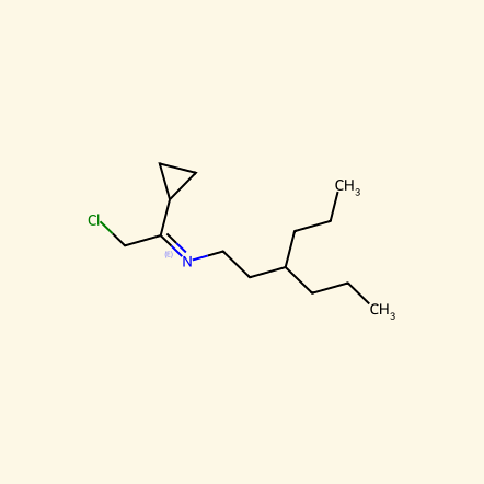 CCCC(CCC)CC/N=C(/CCl)C1CC1